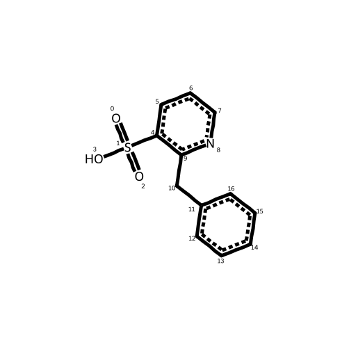 O=S(=O)(O)c1cccnc1Cc1ccccc1